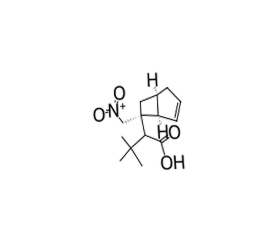 CC(C)(C)C(C(=O)O)[C@@]1(C[N+](=O)[O-])C[C@H]2CC=C[C@H]21